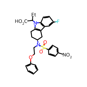 CCC(C(=O)O)n1c2c(c3cc(F)ccc31)C[C@@H](N(CCOc1ccccc1)S(=O)(=O)c1ccc([N+](=O)[O-])cc1)CC2